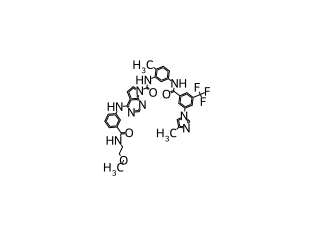 COCCNC(=O)c1cccc(Nc2ncnc3c2ccn3C(=O)Nc2cc(NC(=O)c3cc(-n4cnc(C)c4)cc(C(F)(F)F)c3)ccc2C)c1